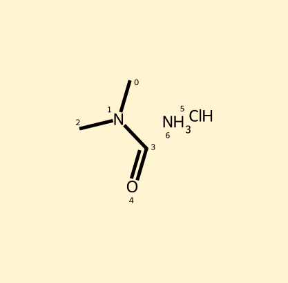 CN(C)C=O.Cl.N